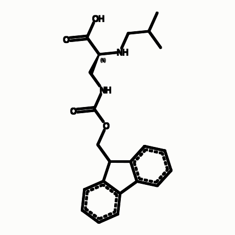 CC(C)CN[C@@H](CNC(=O)OCC1c2ccccc2-c2ccccc21)C(=O)O